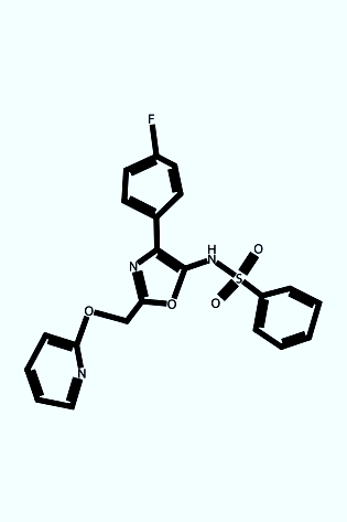 O=S(=O)(Nc1oc(COc2ccccn2)nc1-c1ccc(F)cc1)c1ccccc1